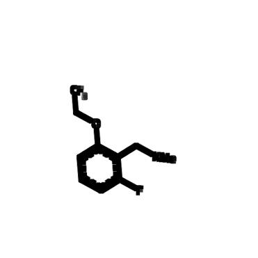 CNCc1c(F)cccc1OCC(F)(F)F